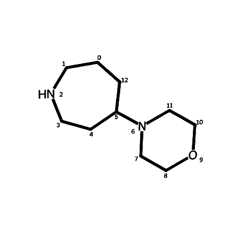 C1CNCCC(N2CCOCC2)C1